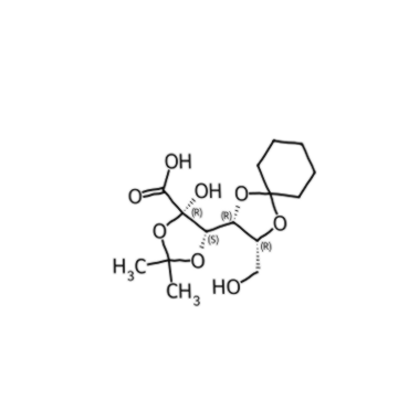 CC1(C)O[C@@H]([C@@H]2OC3(CCCCC3)O[C@@H]2CO)[C@](O)(C(=O)O)O1